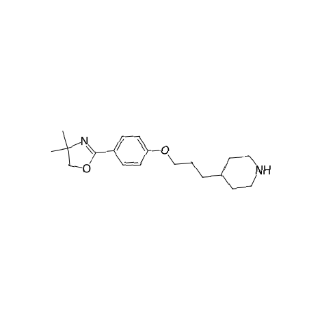 CC1(C)COC(c2ccc(OCCCC3CCNCC3)cc2)=N1